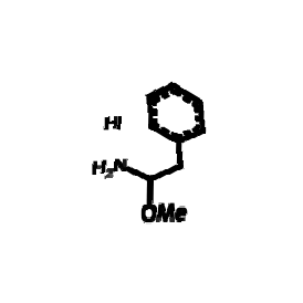 COC(N)Cc1ccccc1.I